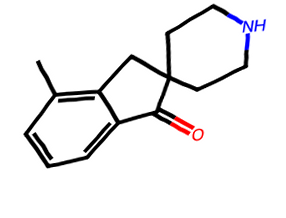 Cc1cccc2c1CC1(CCNCC1)C2=O